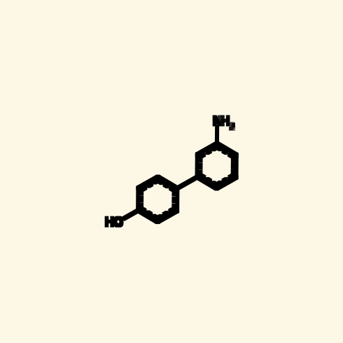 Nc1cccc(-c2ccc(O)cc2)c1